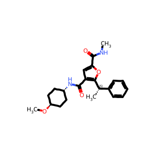 CNC(=O)c1cc(C(=O)N[C@H]2CC[C@H](OC)CC2)c([C@@H](C)c2ccccc2)o1